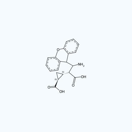 NC(C1c2ccccc2Oc2ccccc21)C(C(=O)O)[C@H]1C[C@@H]1C(=O)O